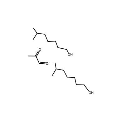 CC(=O)C=O.CC(C)CCCCCO.CC(C)CCCCCO